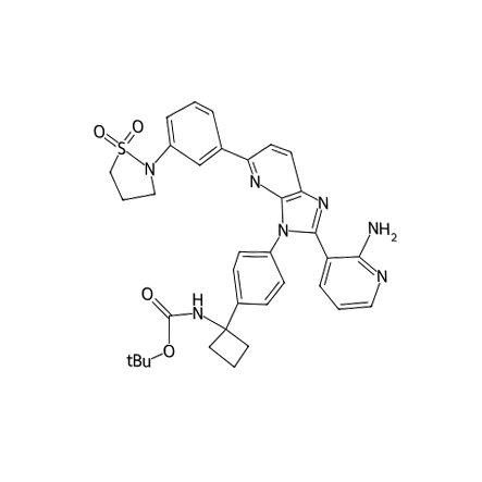 CC(C)(C)OC(=O)NC1(c2ccc(-n3c(-c4cccnc4N)nc4ccc(-c5cccc(N6CCCS6(=O)=O)c5)nc43)cc2)CCC1